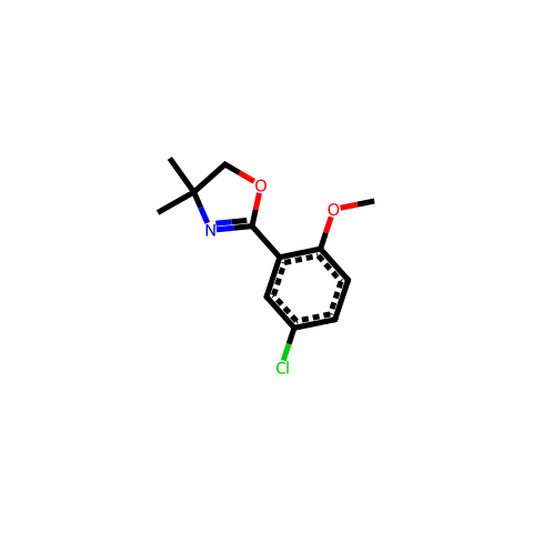 COc1ccc(Cl)cc1C1=NC(C)(C)CO1